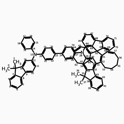 CC1(C)c2ccccc2-c2ccc(N(c3ccccc3)c3ccc(-c4ccc(N(c5ccc6c(c5)C(C)(C)c5ccccc5-6)c5cccc6c5C5(C7=C(CCCC/C=C\7)OC7CCC/C=C\C=C/75)c5ccccc5-6)cc4)cc3)cc21